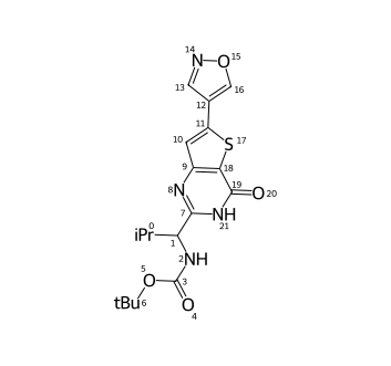 CC(C)C(NC(=O)OC(C)(C)C)c1nc2cc(-c3cnoc3)sc2c(=O)[nH]1